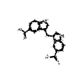 O=C(O)c1ccc2[nH]cc(Cc3c[nH]c4ccc(C(=O)O)cc34)c2c1